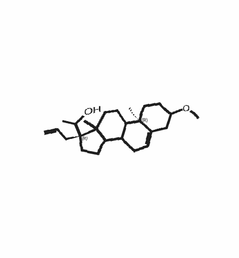 C=CC[C@]1(C(C)O)CCC2C3CC=C4CC(OC)CC[C@]4(C)C3CCC21C